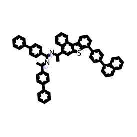 C=C(/N=C(\N=C(/C)c1ccc(-c2ccccc2)cc1)c1ccc(-c2ccccc2)cc1)c1cc2sc3c(-c4ccc(-c5cccc6ccccc56)cc4)cccc3c2c2ccccc12